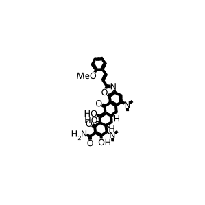 COc1ccccc1/C=C/c1nc2cc(N(C)C)c3c(c2o1)C(=O)C1=C(O)[C@]2(O)C(=O)C(C(N)=O)=C(O)[C@@H](N(C)C)[C@@H]2C[C@@H]1C3